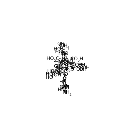 CC[C@H](NC(=O)[C@H](CCC(=O)NC[C@H](O)[C@@H](O)[C@H](O)[C@H](O)CO)NC(=O)[C@H](CCC(=O)O)NC(=O)[C@H](CCC(=O)NC[C@H](O)[C@@H](O)[C@H](O)[C@H](O)CO)NC(=O)[C@H](CCC(=O)O)NC(=O)[C@H](CCC(=O)NC[C@H](O)[C@@H](O)[C@H](O)[C@H](O)CO)NC(=O)CC[C@H](NC(=O)c1ccc(NCc2cnc3nc(N)[nH]c(=O)c3n2)cc1)C(=O)O)C(=O)O